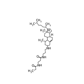 CCC(=O)NCCC(=O)NCCCN[C@@H]1CC2=CC[C@H]3C(CCC4(C)C([C@H](C)CCCC(C)C)CC[C@@H]34)C2C(C)C1